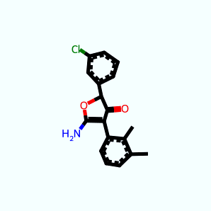 Cc1cccc(C2=C(N)OC(c3cccc(Cl)c3)C2=O)c1C